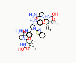 CC(C)[C@H](NC(=O)O)C(=O)N1CCC[C@@]1(C(N)=O)c1cccc([C@H]2CC[C@H](c3cccc([C@]4(C(N)=O)CCCN4C(=O)[C@@H](NC(=O)O)C(C)C)c3N)N2c2nc3c(s2)CCCC3)c1N